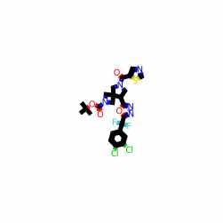 CC(C)(C)OC(=O)N1CC2(C1)CN(C(=O)c1cncs1)CC2c1nnc(C(F)(F)c2ccc(Cl)c(Cl)c2)o1